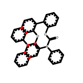 O=C(Oc1ccccc1-c1ccccc1OC(=O)N(c1ccccc1)c1ccccc1)N(c1ccccc1)c1ccccc1